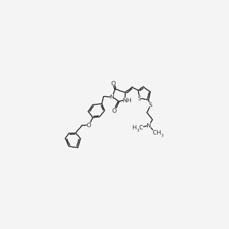 CN(C)CCSc1ccc(/C=C2\NC(=O)N(Cc3ccc(OCc4ccccc4)cc3)C2=O)s1